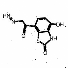 N=NCC(=O)c1ccc(O)c2[nH]c(=O)sc12